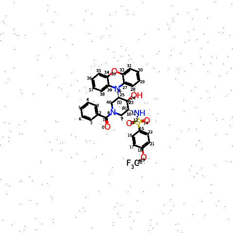 O=C(c1ccccc1)N1C[C@@H](NS(=O)(=O)c2ccc(OC(F)(F)F)cc2)[C@H](O)[C@@H](N2c3ccccc3Oc3ccccc32)C1